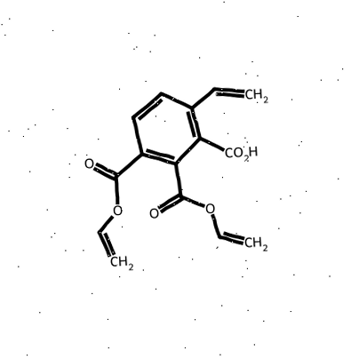 C=COC(=O)c1ccc(C=C)c(C(=O)O)c1C(=O)OC=C